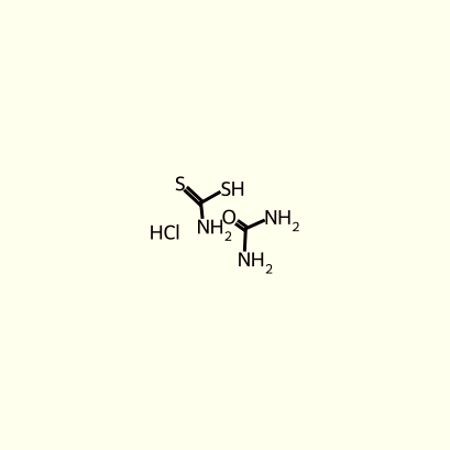 Cl.NC(=S)S.NC(N)=O